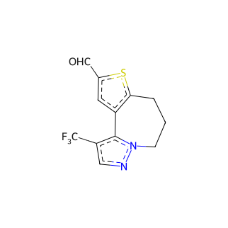 O=Cc1cc2c(s1)CCCn1ncc(C(F)(F)F)c1-2